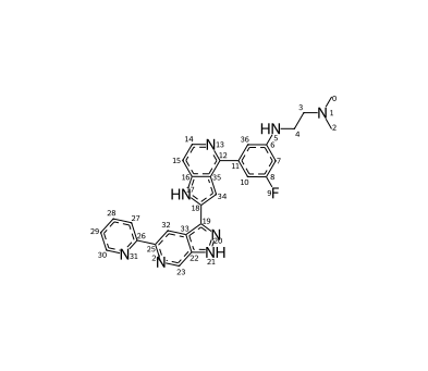 CN(C)CCNc1cc(F)cc(-c2nccc3[nH]c(-c4n[nH]c5cnc(-c6ccccn6)cc45)cc23)c1